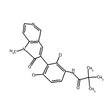 Cn1c(=O)c(-c2c(Cl)ccc(NC(=O)C(C)(C)C)c2Cl)cc2cnccc21